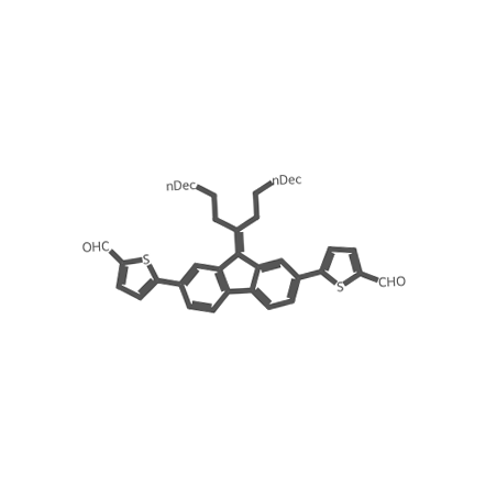 CCCCCCCCCCCCC(CCCCCCCCCCCC)=C1c2cc(-c3ccc(C=O)s3)ccc2-c2ccc(-c3ccc(C=O)s3)cc21